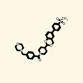 CS(=O)(=O)c1ccc(-c2ccc3c(c2)COC(C2CCN(C(=O)c4ccc(CN5CCOCC5)cc4)CC2)O3)cc1